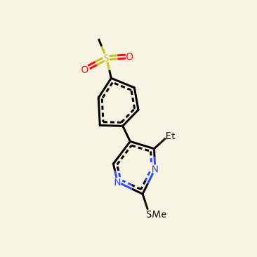 CCc1nc(SC)ncc1-c1ccc(S(C)(=O)=O)cc1